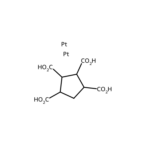 O=C(O)C1CC(C(=O)O)C(C(=O)O)C1C(=O)O.[Pt].[Pt]